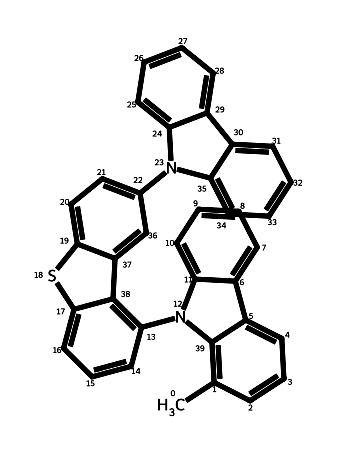 Cc1cccc2c3ccccc3n(-c3cccc4sc5ccc(-n6c7ccccc7c7ccccc76)cc5c34)c12